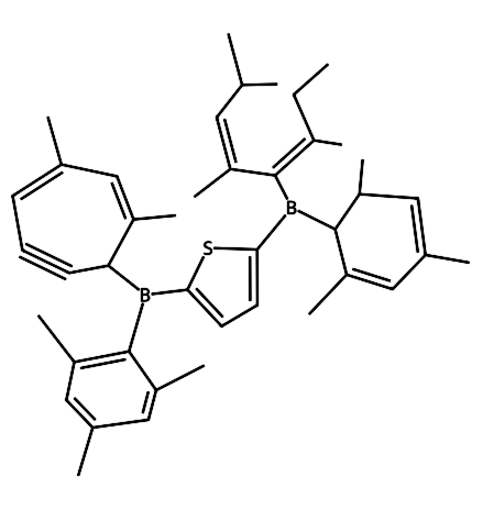 CC/C(C)=C(B(c1ccc(B(c2c(C)cc(C)cc2C)C2C#CC=C(C)C=C2C)s1)C1C(C)=CC(C)=CC1C)\C(C)=C/C(C)C